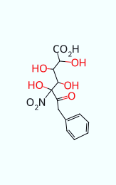 O=C(O)C(O)C(O)C(O)C(O)(C(=O)Cc1ccccc1)[N+](=O)[O-]